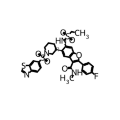 CCS(=O)(=O)Nc1cc2oc(-c3ccc(F)cc3)c(C(=O)NC)c2cc1[C@@H]1CCCN(S(=O)(=O)c2ccc3ncsc3c2)C1